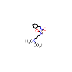 CN(CCCCn1sc(=O)n(CC2CCCCC2)c1=O)CC(=O)O